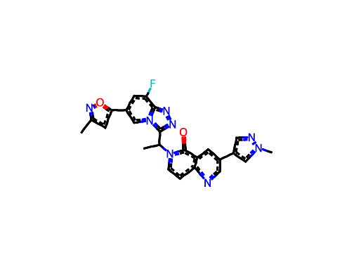 Cc1cc(-c2cc(F)c3nnc(C(C)n4ccc5ncc(-c6cnn(C)c6)cc5c4=O)n3c2)on1